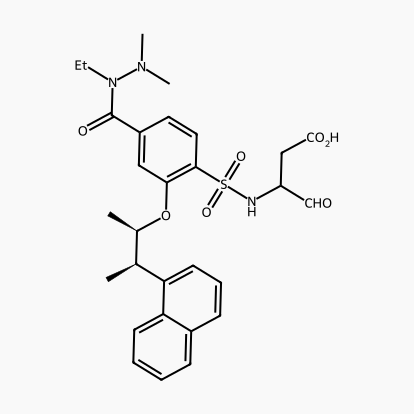 CCN(C(=O)c1ccc(S(=O)(=O)NC(C=O)CC(=O)O)c(O[C@H](C)[C@H](C)c2cccc3ccccc23)c1)N(C)C